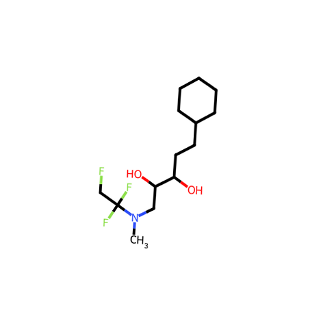 CN(CC(O)C(O)CCC1CCCCC1)C(F)(F)CF